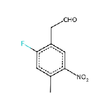 Cc1cc(F)c(CC=O)cc1[N+](=O)[O-]